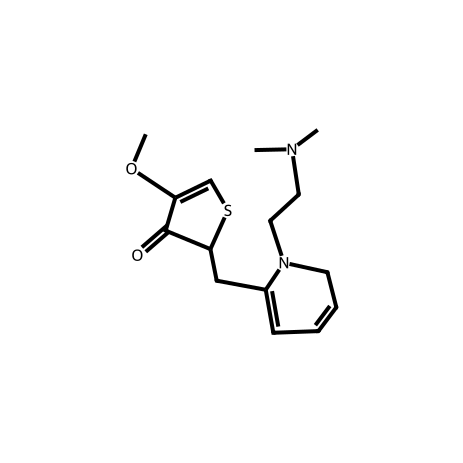 COC1=CSC(CC2=CC=CCN2CCN(C)C)C1=O